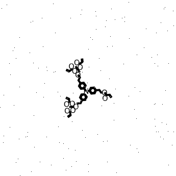 C=CC(=O)OCCc1ccc(N(c2ccc(CCOCC(C)(OC(=O)C=C)OC(=O)C=C)cc2)c2ccc(CCOC(C)(OC(=O)C=C)OC(=O)C=C)cc2)cc1